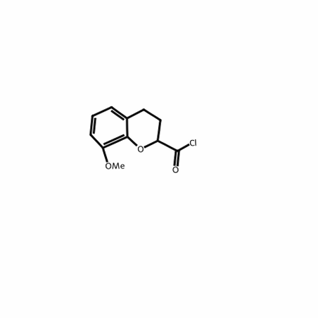 COc1cccc2c1OC(C(=O)Cl)CC2